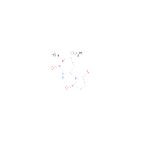 CC(C)(C)OC(=O)NC(CCC(=O)O)N1C(=O)CCC1=O